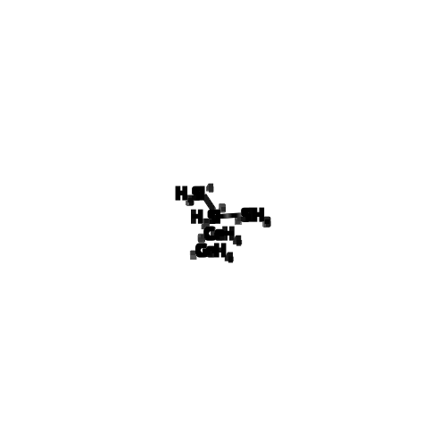 [GeH4].[GeH4].[SiH3][SiH2][SiH3]